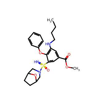 CCCCNc1cc(C(=O)OC)cc(S(=N)(=O)N2CC3CCC(C2)O3)c1Oc1ccccc1